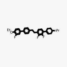 CCCC1CC=C(c2ccc(CCc3ccc(-c4ccc(OCC)c(F)c4)cc3)c(F)c2F)CC1